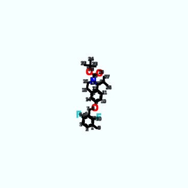 Cc1ccc(F)c(COc2ccc3c(c2)CCN(C(=O)OC(C)(C)C)C3C(C)C)c1F